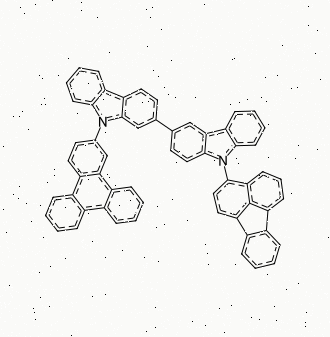 c1ccc2c(c1)-c1cccc3c(-n4c5ccccc5c5cc(-c6ccc7c8ccccc8n(-c8ccc9c%10ccccc%10c%10ccccc%10c9c8)c7c6)ccc54)ccc-2c13